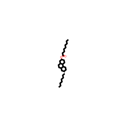 CCCCCCCCC(=O)O[C@H]1CCC2C(CCC3C[C@@H](CCCCCCCC)CCC32)C1